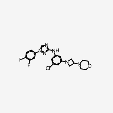 Fc1ccc(-n2cnc(Nc3cc(Cl)cc(N4CC(N5CCOCC5)C4)c3)n2)cc1F